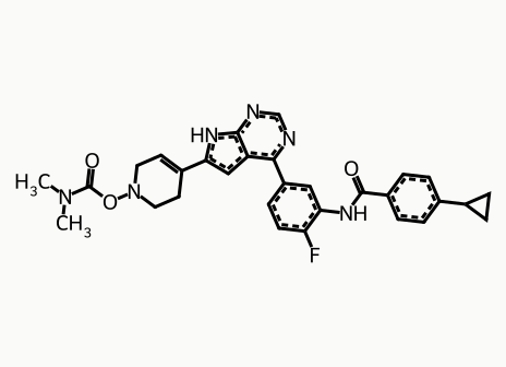 CN(C)C(=O)ON1CC=C(c2cc3c(-c4ccc(F)c(NC(=O)c5ccc(C6CC6)cc5)c4)ncnc3[nH]2)CC1